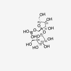 OC[C@H]1O[C@@](COB(O)O)(O[C@H]2O[C@H](CO)[C@@H](O)[C@H](O)[C@H]2O)[C@@H](O)[C@@H]1O